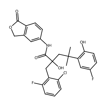 CC(C)(CC(O)(Cc1c(F)cccc1Cl)C(=O)Nc1ccc2c(c1)COC2=O)c1cc(F)ccc1O